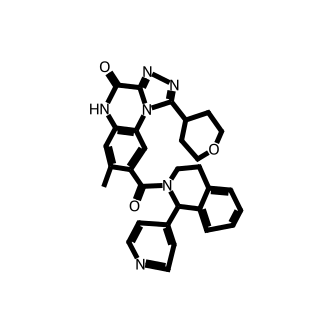 Cc1cc2[nH]c(=O)c3nnc(C4CCOCC4)n3c2cc1C(=O)N1CCc2ccccc2C1c1ccncc1